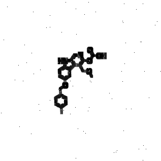 COCc1c(OC(=O)O)ncc2[nH]c3ccc(OCc4ccc(C)cc4)cc3c12